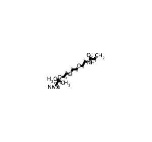 C=CC(=O)NCCOCCOCCOC(C)(C)CNC